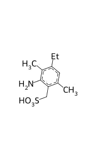 CCc1cc(C)c(CS(=O)(=O)O)c(N)c1C